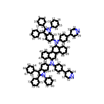 c1ccc(-c2c(-c3ccccc3)n(-c3ccccc3)c3cc(N(c4ccc(-c5ccncc5)cc4)c4cc5c6ccccc6c(N(c6ccc(-c7ccncc7)cc6)c6ccc7c(-c8ccccc8)c(-c8ccccc8)n(-c8ccccc8)c7c6)cc5c5ccccc45)ccc23)cc1